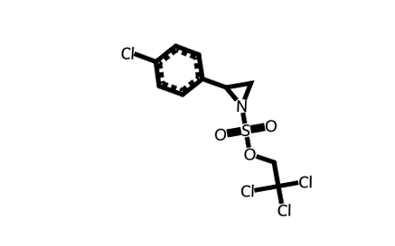 O=S(=O)(OCC(Cl)(Cl)Cl)N1CC1c1ccc(Cl)cc1